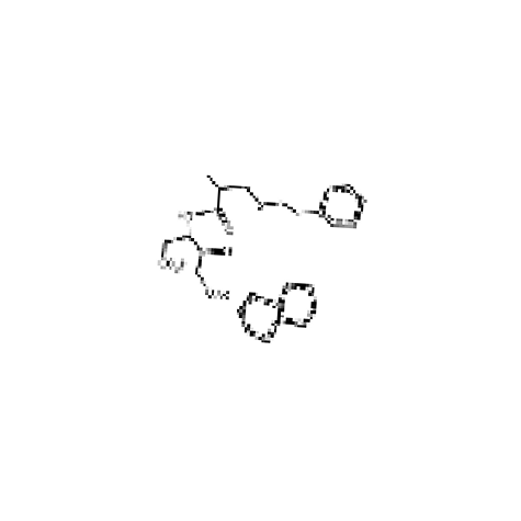 CC(=O)OCC(=O)C(CC(=O)O)NC(=O)C(C)CSCCc1ccccc1.c1ccc2ccccc2c1